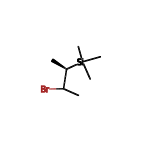 CC(Br)[C@@H](C)[Si](C)(C)C